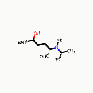 CCN([C@H](C=O)CCC(O)NC)[C@@H](C)C(C)C